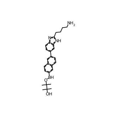 CC(C)(O)C(C)(C)OBc1ccc2cc(-c3ccc4nc(CCCCN)[nH]c4c3)ccc2c1